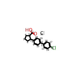 O=C(O)C1CCCC1c1ccc(-c2ccc(Cl)cc2)cc1.[C]